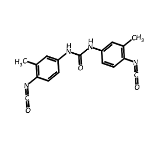 Cc1cc(NC(=O)Nc2ccc(N=C=O)c(C)c2)ccc1N=C=O